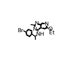 CCOc1cc2c(NC(C)c3ccc(Br)cc3)nc(C)nc2cn1